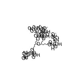 O=C(NC(CSSc1ncccc1[N+](=O)[O-])C(=O)O)OCCCCC(CCCOC(=O)NC(CSSc1ncccc1[N+](=O)[O-])C(=O)O)COCC(CCCCOC(=O)NC(CSSc1ncccc1[N+](=O)[O-])C(=O)O)CCCOC(=O)NC(CSSc1ncccc1[N+](=O)[O-])C(=O)O